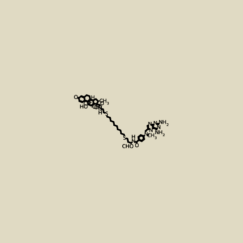 C[C@@H]1C[C@H]2C3CCC4=CC(=O)C=C[C@]4(C)[C@@]3(F)[C@@H](O)C[C@]2(C)[C@@]1(O)C(=O)NCCSCCCCCCCCCCSCC[C@@H](C=O)NC(=O)c1ccc(N(C)Cc2cnc3nc(N)nc(N)c3n2)cc1